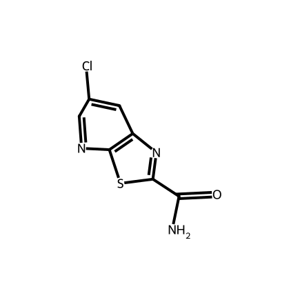 NC(=O)c1nc2cc(Cl)cnc2s1